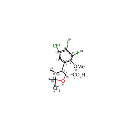 COc1c(C2[C@H](C(=O)O)O[C@@](C)(C(F)(F)F)[C@H]2C)cc(Cl)c(F)c1F